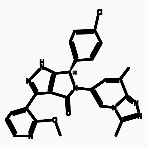 COc1ncccc1-c1n[nH]c2c1C(=O)N(c1cc(C)c3nnc(C)n3c1)[C@H]2c1ccc(Cl)cc1